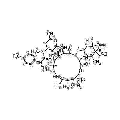 CC[C@H]1OC(=O)[C@H](C)[C@@H](O[C@H]2C[C@@](C)(OC)[C@](O)(CCl)[C@H](C)O2)[C@H](C)[C@@H](O[C@@H]2O[C@H](C)CC(N(C)C(=O)N(C)c3ccc(C(F)(F)F)cc3)[C@H]2O)[C@](C)(O)C[C@@H](C)CN[C@H](C)[C@@H](O)[C@]1(C)O